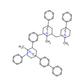 CC12CCC(c3ccccc3)(CC1)CN2CC1CC2(c3ccccc3)CCC1(C)N(c1cccc(C3CC4(c5ccc(-c6ccccc6)cc5)CCC3(C)N(c3ccccc3)C4)c1)C2